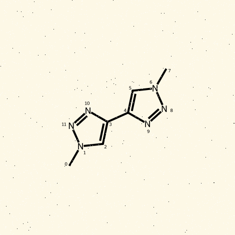 Cn1cc(-c2cn(C)nn2)nn1